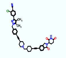 Cc1c(-c2ccc(C#N)c(Cl)c2)nn(Cc2ccc(C#CC3CCN(CC4CCC(C#Cc5ccc6c(c5)CN(C5CCC(=O)NC5=O)C6=O)CC4)CC3)cc2)c1C